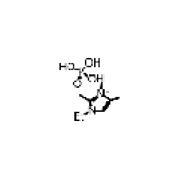 CCn1cc(C)[n+](C)c1C.O=P(O)(O)O